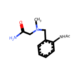 CC(=O)Nc1ccccc1CN(C)CC(N)=O